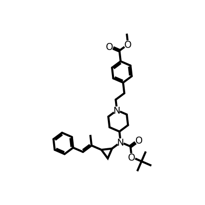 COC(=O)c1ccc(CCN2CCC(N(C(=O)OC(C)(C)C)C3CC3/C(C)=C/c3ccccc3)CC2)cc1